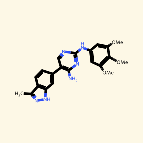 COc1cc(Nc2ncc(-c3ccc4c(C)n[nH]c4c3)c(N)n2)cc(OC)c1OC